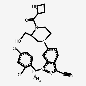 C[C@H](c1ccc(Cl)cc1Cl)n1nc(C#N)c2ccc(N3CCN(C(=O)C4CCN4)C(CO)C3)cc21